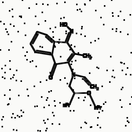 C=CN(CC(CCC)OCCC)C1=C(C)/C(=N/O)c2ccccc2C1=O